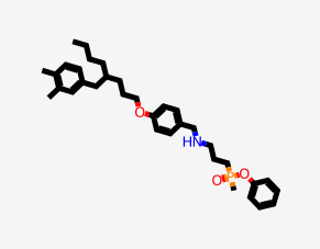 CCCCC(CCCOc1ccc(CNCCCP(C)(=O)Oc2ccccc2)cc1)Cc1ccc(C)c(C)c1